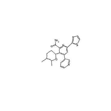 CC1CCC(c2c(-c3cccnc3)cc(-c3nccs3)nc2C(N)=O)OC1C